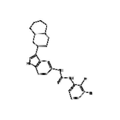 S=C(Nc1ccc2[nH]cc(C3=CCN4CCCCC4C3)c2c1)Nc1cccc(Br)c1Br